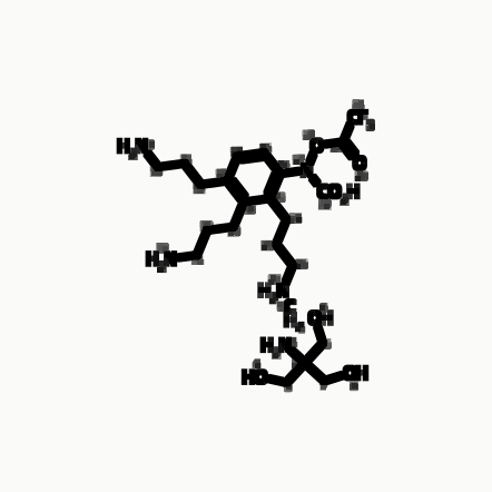 C.NC(CO)(CO)CO.NCCCc1ccc(N(OC(=O)C(F)(F)F)C(=O)O)c(CCCN)c1CCCN